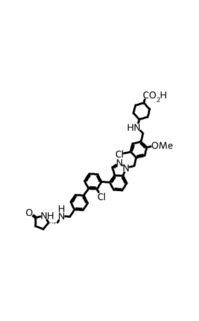 COc1cc(Cn2ncc3c(-c4cccc(-c5ccc(CNC[C@@H]6CCC(=O)N6)cc5)c4Cl)cccc32)c(Cl)cc1CNC1CCC(C(=O)O)CC1